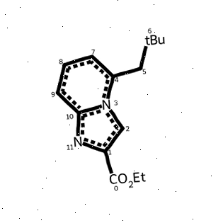 CCOC(=O)c1cn2c(CC(C)(C)C)cccc2n1